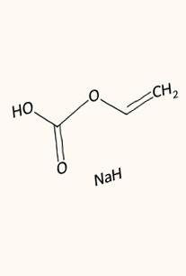 C=COC(=O)O.[NaH]